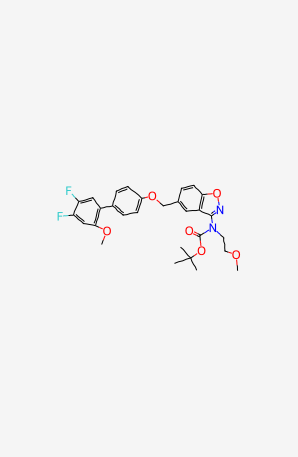 COCCN(C(=O)OC(C)(C)C)c1noc2ccc(COc3ccc(-c4cc(F)c(F)cc4OC)cc3)cc12